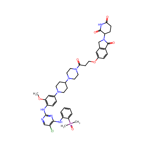 COc1cc(N2CCC(N3CCN(C(=O)CCOc4ccc5c(c4)CN(C4CCC(=O)NC4=O)C5=O)CC3)CC2)ccc1Nc1ncc(Cl)c(Nc2ccccc2P(C)(C)=O)n1